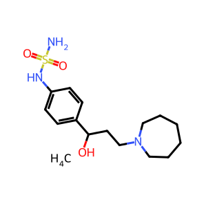 C.NS(=O)(=O)Nc1ccc(C(O)CCN2CCCCCC2)cc1